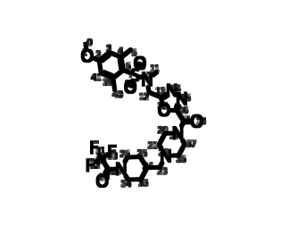 COc1cc(C)c(S(=O)(=O)N(C)Cc2nnc(C(=O)N3CCN(CC4CCN(C(=O)C(F)(F)F)CC4)CC3)o2)c(C)c1